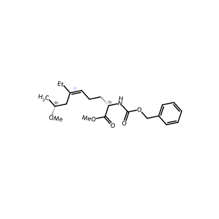 CC/C(=C/CC[C@H](NC(=O)OCc1ccccc1)C(=O)OC)C[C@@H](C)OC